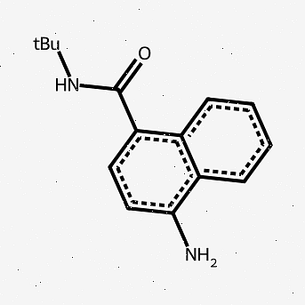 CC(C)(C)NC(=O)c1ccc(N)c2ccccc12